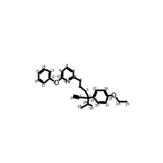 C#CC(CCCc1cccc(Oc2ccccc2)n1)(c1ccc(OCC)cc1)C(C)C